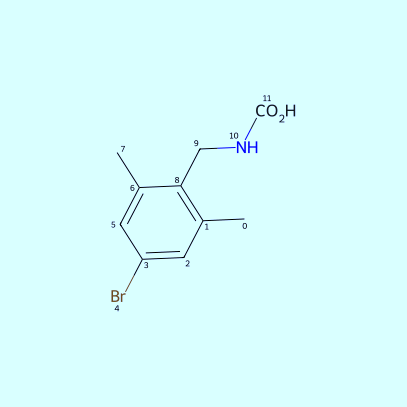 Cc1cc(Br)cc(C)c1CNC(=O)O